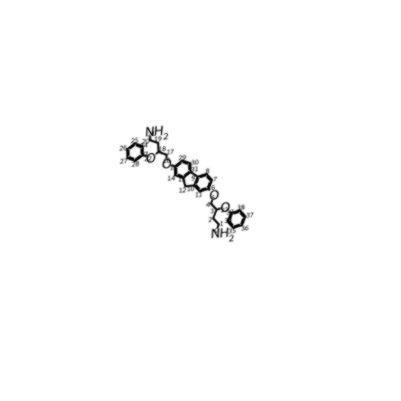 NCCC(COc1ccc2c(c1)Cc1cc(OCC(CCN)Oc3ccccc3)ccc1-2)Oc1ccccc1